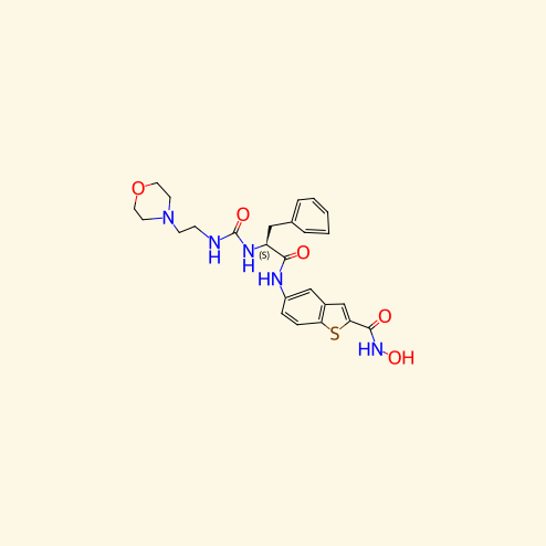 O=C(NCCN1CCOCC1)N[C@@H](Cc1ccccc1)C(=O)Nc1ccc2sc(C(=O)NO)cc2c1